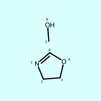 C1=NCCO1.CO